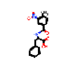 Cc1ccc(C(=O)NC(Cc2ccccc2)C(=O)O)cc1[N+](=O)[O-]